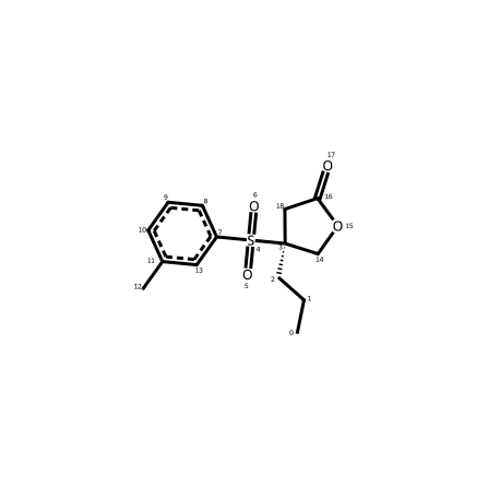 CCC[C@@]1(S(=O)(=O)c2cccc(C)c2)COC(=O)C1